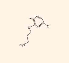 Cc1ccc(Cl)cc1OCCCN